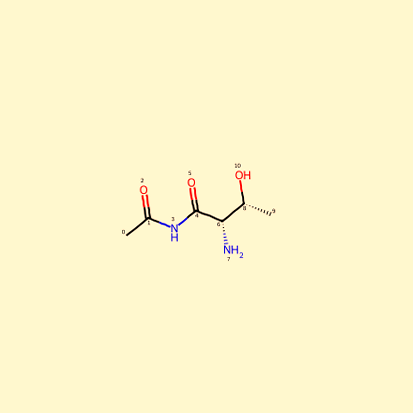 CC(=O)NC(=O)[C@@H](N)[C@@H](C)O